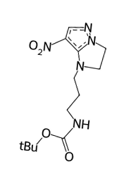 CC(C)(C)OC(=O)NCCCN1CCn2ncc([N+](=O)[O-])c21